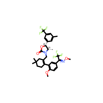 CO/N=C(/c1ccc(OC)c(C2=C(CN3C(=O)O[C@H](c4cc(C)cc(C(F)(F)F)c4)[C@@H]3C)CC(C)(C)CC2)c1)C(F)(F)F